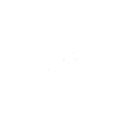 Cc1ccc(C(=O)c2ccc(C(c3ccc(C)cc3)c3cc(Br)c(Br)[nH]3)[nH]2)cc1